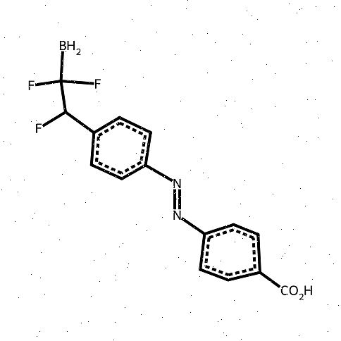 BC(F)(F)C(F)c1ccc(N=Nc2ccc(C(=O)O)cc2)cc1